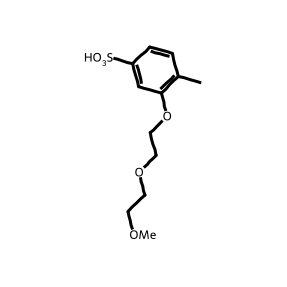 COCCOCCOc1cc(S(=O)(=O)O)ccc1C